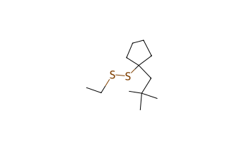 CCSSC1(CC(C)(C)C)CCCC1